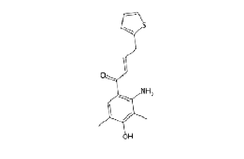 Cc1cc(C(=O)C=CCc2cccs2)c(N)c(C)c1O